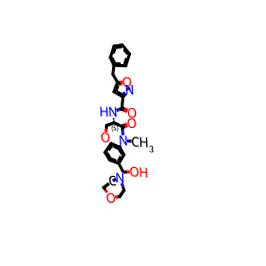 CN1C(=O)[C@@H](NC(=O)c2cc(Cc3ccccc3)on2)COc2ccc(C(O)N3CCOCC3)cc21